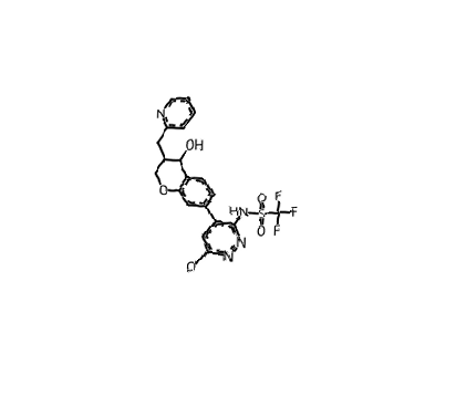 O=S(=O)(Nc1nnc(Cl)cc1-c1ccc2c(c1)OCC(Cc1ccccn1)C2O)C(F)(F)F